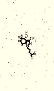 O[C@H]1c2c(C(F)(F)F)nn(CCCC(F)F)c2CCC1(F)F